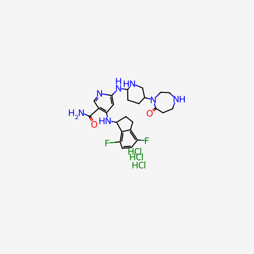 Cl.Cl.Cl.NC(=O)c1cnc(NC2CCC(N3CCNCCC3=O)CN2)cc1NC1CCc2c(F)ccc(F)c21